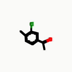 CC(=O)c1ccc(C)c(Cl)c1